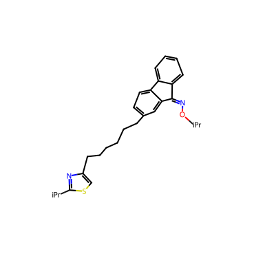 CC(C)O/N=C1/c2ccccc2-c2ccc(CCCCCCc3csc(C(C)C)n3)cc21